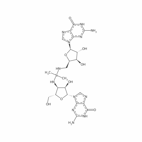 C[Si](C)(NC[C@H]1O[C@@H](n2cnc3c(=O)[nH]c(N)nc32)[C@H](O)[C@H]1O)N[C@H]1[C@@H](O)[C@H](n2cnc3c(=O)[nH]c(N)nc32)O[C@@H]1CO